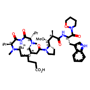 CC[C@H](C)[C@@H]([C@@H](CC(=O)N1CCC[C@H]1[C@H](OC)[C@@H](C)C(=O)N[C@@H](Cc1c[nH]c2ccccc12)C(=O)N1CCCCO1)OC)N(C)[C@H](C(=O)NC(=O)[C@H](C(C)C)N(C)CCCCCC(=O)O)C(C)C